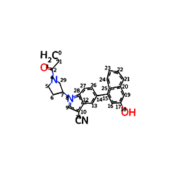 C=CC(=O)N1CCC(n2cc(C#N)c3cc(-c4cc(O)cc5ccccc45)ccc32)C1